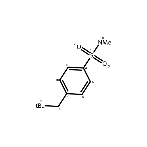 CNS(=O)(=O)c1ccc(CC(C)(C)C)cc1